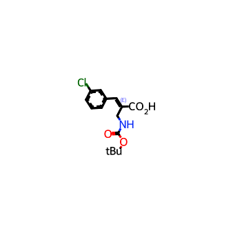 CC(C)(C)OC(=O)NC/C(=C\c1cccc(Cl)c1)C(=O)O